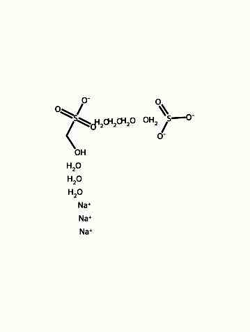 O.O.O.O.O.O.O.O=S(=O)([O-])CO.O=S([O-])[O-].[Na+].[Na+].[Na+]